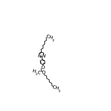 CCCCCCCCOC(C)COc1ccc(-c2ncc(CCCCCCCC)cn2)cc1